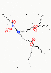 CCCCCCCC(=O)N(CCO)CCCCN(CCCCCCCC(=O)OCC(CCCC)CCCCCC)CCCCCCCC(=O)OCC(CCCC)CCCCCC